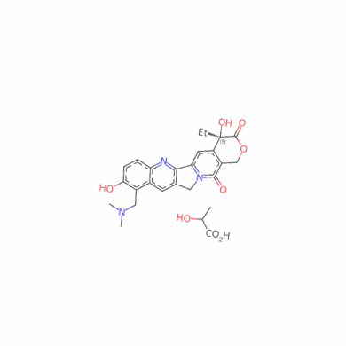 CC(O)C(=O)O.CC[C@@]1(O)C(=O)OCc2c1cc1n(c2=O)Cc2cc3c(CN(C)C)c(O)ccc3nc2-1